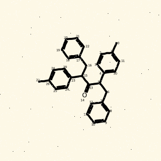 Cc1ccc(C(Cc2ccccc2)C(=O)C(Cc2ccccc2)c2ccc(C)cc2)cc1